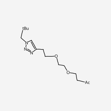 CC(=O)CCOCCOCCc1cn(CC(C)(C)C)nn1